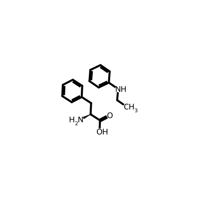 CCNc1ccccc1.N[C@@H](Cc1ccccc1)C(=O)O